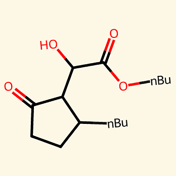 CCCCOC(=O)C(O)C1C(=O)CCC1CCCC